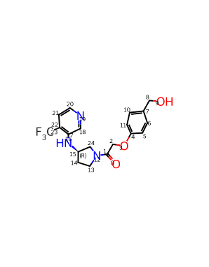 O=C(COc1ccc(CO)cc1)N1CC[C@@H](Nc2cnccc2C(F)(F)F)C1